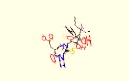 CCC(I)(CC)C1[C@H]2OC(n3cc(CC(=O)OC)c(=O)[nH]c3=S)[C@H](O)[C@@]12O